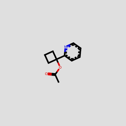 CC(=O)OC1(c2ccccn2)CCC1